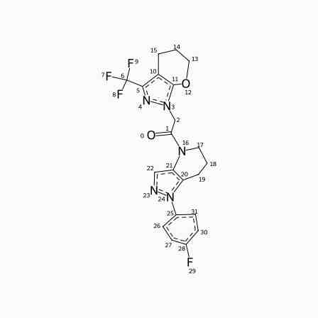 O=C(Cn1nc(C(F)(F)F)c2c1OCCC2)N1CCCc2c1cnn2-c1ccc(F)cc1